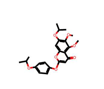 COc1c(OC(C)C)cc2oc(Oc3ccc(OC(C)C)cc3)cc(=O)c2c1OC